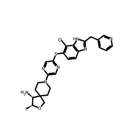 N[C@@H]1[C@H](I)OCC12CCN(c1cnc(Sc3ccc4nc(Cc5cccnc5)[nH]c4c3Cl)cn1)CC2